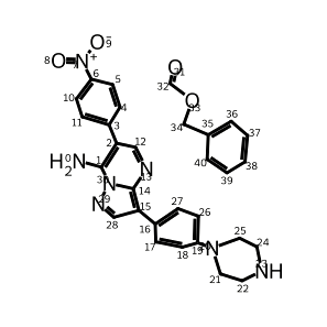 Nc1c(-c2ccc([N+](=O)[O-])cc2)cnc2c(-c3ccc(N4CCNCC4)cc3)cnn12.O=COCc1ccccc1